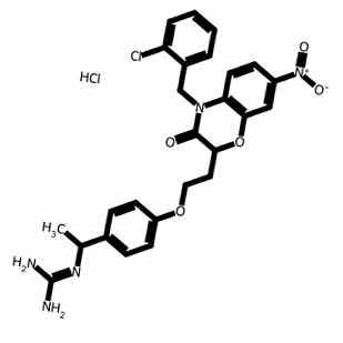 CC(N=C(N)N)c1ccc(OCCC2Oc3cc([N+](=O)[O-])ccc3N(Cc3ccccc3Cl)C2=O)cc1.Cl